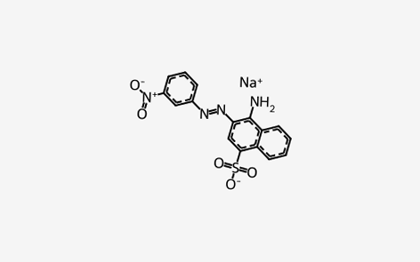 Nc1c(N=Nc2cccc([N+](=O)[O-])c2)cc(S(=O)(=O)[O-])c2ccccc12.[Na+]